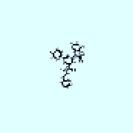 Cc1ccc(-c2cc(C(=O)NCCc3cnccn3)cc(-n3c(=O)oc4ccccc43)c2)nc1